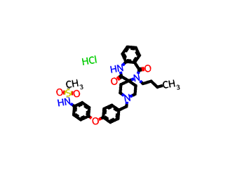 CCCCN1C(=O)c2ccccc2NC(=O)C12CCN(Cc1ccc(Oc3ccc(NS(C)(=O)=O)cc3)cc1)CC2.Cl